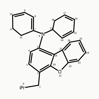 CC(C)Cc1ccc(N(C2=CC=CCC2)C2C=CC=CC2)c2c1oc1ccccc12